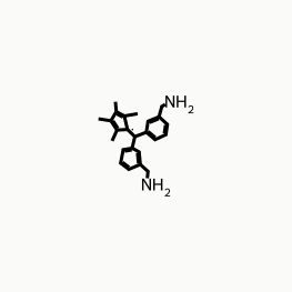 CC1=C(C)C(C)=C(C)[C]1C(c1cccc(CN)c1)c1cccc(CN)c1